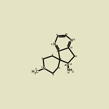 CN1CCC2(CC1)c1nccnc1C[C@H]2N